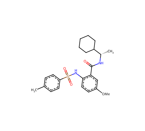 COc1ccc(NS(=O)(=O)c2ccc(C)cc2)c(C(=O)N[C@@H](C)C2CCCCC2)c1